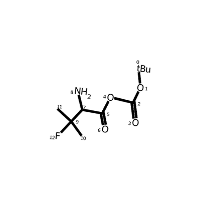 CC(C)(C)OC(=O)OC(=O)C(N)C(C)(C)F